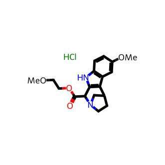 COCCOC(=O)C1c2[nH]c3ccc(OC)cc3c2C2CCN1C2.Cl